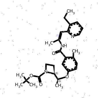 CCc1cccnc1/C=C(/C)NC(=O)c1cc(O[C@@H](C)[C@@H]2CCN2C(=O)OC(C)(C)C)ccc1C